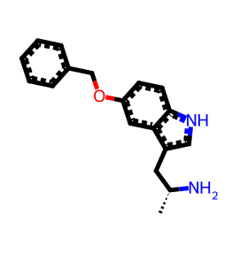 C[C@@H](N)Cc1c[nH]c2ccc(OCc3ccccc3)cc12